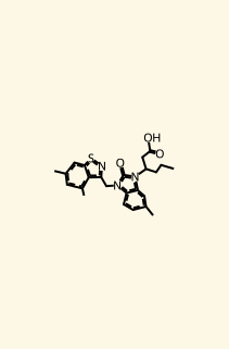 CCCC(CC(=O)O)n1c(=O)n(Cc2nsc3cc(C)cc(C)c23)c2ccc(C)cc21